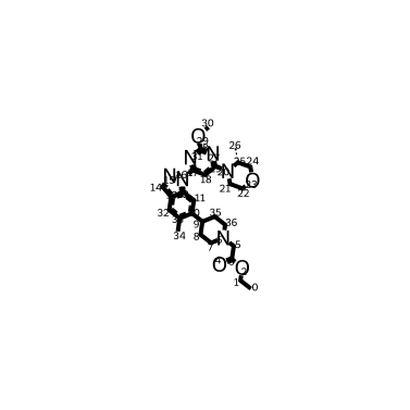 CCOC(=O)CN1CCC(c2cc3c(cnn3-c3cc(N4CCOC[C@H]4C)nc(OC)n3)cc2C)CC1